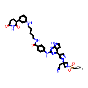 CCS(=O)(=O)N1CC(CC#N)(n2cc(-c3nc(Nc4ccc(C(=O)NCCCCCNc5cccc(C6CCC(=O)NC6=O)c5)cc4)nc4[nH]ccc34)cn2)C1